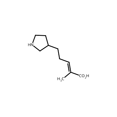 CC(=CCCC1CCNC1)C(=O)O